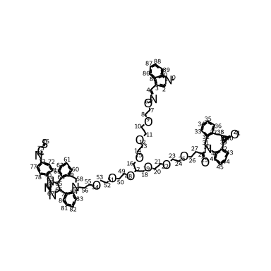 Cn1cc(/C=N/OCCOCCOCCOCC(COCCOCCOCCC(=O)N2Cc3ccccc3-c3c(c3=O)-c3ccccc32)OCCOCCOCCN2Cc3ccccc3C3C(N=NN3c3ccc(N=C=S)cc3)c3ccccc32)c2ccccc21